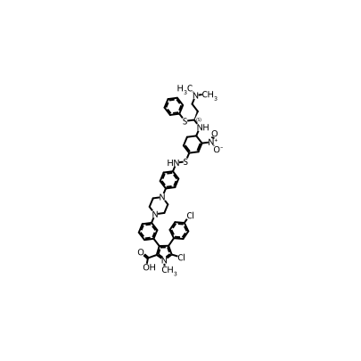 CN(C)CC[C@@H](NC1CC=C(SNc2ccc(N3CCN(c4cccc(-c5c(-c6ccc(Cl)cc6)c(Cl)n(C)c5C(=O)O)c4)CC3)cc2)C=C1[N+](=O)[O-])Sc1ccccc1